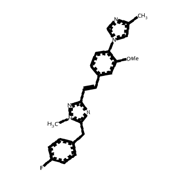 COc1cc(C=Cc2nc(Cc3ccc(F)cc3)n(C)n2)ccc1-n1cnc(C)c1